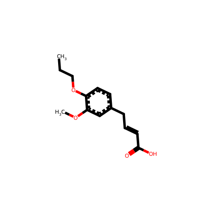 CCCOc1ccc(CC=CC(=O)O)cc1OC